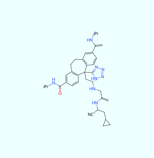 C=C(CN[C@@H](C)CC1(c2nnn[nH]2)c2ccc(C(=C)NC(C)C)cc2CCc2cc(C(=O)NC(C)C)ccc21)NC(C#N)CC1CC1